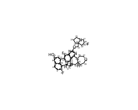 C#Cc1c(F)ccc2cc(O)cc(-c3nc4c5c(nc(OC[C@@]67CCCN6C[C@H](F)C7)nc5c3F)N3CCOCC[C@H]3CN4C)c12